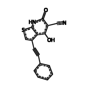 N#Cc1c(O)c2c(C#Cc3ccccc3)csc2[nH]c1=O